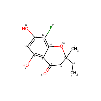 CCC1(C)CC(=O)c2c(O)cc(O)c(F)c2O1